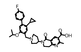 Cc1nc2c(cc1C(=O)O)C(=O)N(C1CCN(Cc3cc(C4CC4)c(-c4ccc(F)cc4)cc3OC(C)C)CC1)CC2